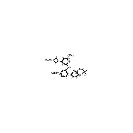 CO[C@H]1C[C@@H](c2cc(Nc3cc(NC(C)=O)ncc3-c3ccc4c(n3)OCC(C)(C)O4)nc(SC)c2)C1